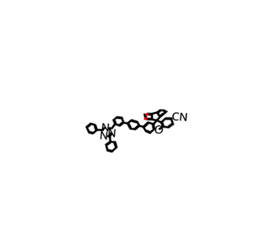 N#Cc1ccc2c(c1)C1(c3cc(-c4ccc(-c5cccc(-c6nc(-c7ccccc7)nc(-c7ccccc7)n6)c5)cc4)ccc3O2)c2ccccc2-c2ccccc21